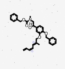 C=C/C=C\C=C(/C)COc1cc([C@@H](O)CN(C)C(=O)OCc2ccccc2)ccc1OCc1ccccc1